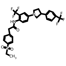 CCS(=O)(=O)c1ccc(CC(=O)Nc2ccc(N3CCC(c4ccc(C(F)(F)F)cc4)C3)cc2C(F)(F)F)cc1